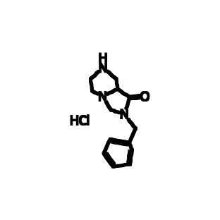 Cl.O=C1C2CNCCN2CN1Cc1ccccc1